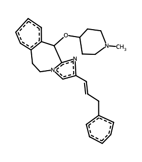 CN1CCC(OC2c3ccccc3CCn3cc(C=CCc4ccccc4)nc32)CC1